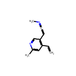 C=Cc1cc(C)ncc1C=C=NC